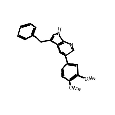 COc1ccc(-c2cnc3[nH]cc(Cc4ccccc4)c3c2)cc1OC